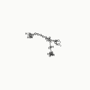 Nc1nc(OCc2ccc(COCCOCCOCCOCCNC(=O)C(CCCCNc3ccc([N+](=O)[O-])cc3[N+](=O)[O-])NC(=O)CCCCCNC(=O)CCCC[C@H]3SC[C@H]4NC(=O)N[C@H]43)cc2)c2nc[nH]c2n1